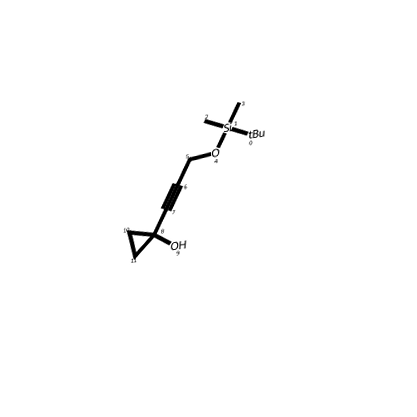 CC(C)(C)[Si](C)(C)OCC#CC1(O)CC1